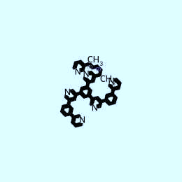 C=C(/C=C\C=C(/C)c1cccnc1)c1cncc(-c2cc(-c3cncc(-c4cccc(-c5cccnc5)c4)c3)cc(-c3cncc(-c4cccc(-c5cccnc5)c4)c3)c2)c1